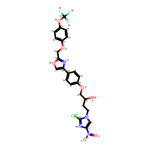 O=[N+]([O-])c1cn(CCC(O)COc2ccc(-c3coc(COc4ccc(OC(F)(F)F)cc4)n3)cc2)c(Cl)n1